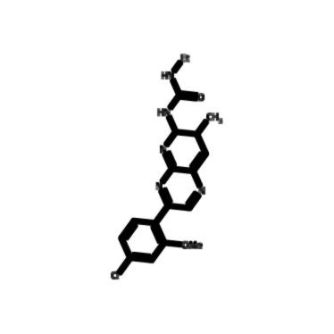 CCNC(=O)NC1N=c2nc(-c3ccc(Cl)cc3OC)cnc2=CC1C